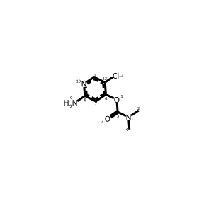 CN(C)C(=O)Oc1cc(N)ncc1Cl